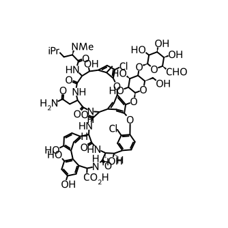 CN[C@H](CC(C)C)C(=O)NC1C(=O)NC(CC(N)=O)C(=O)NC2C(=O)N[C@H]3C(=O)N[C@H](C(=O)NC(C(=O)O)c4cc(O)cc(O)c4-c4cc3ccc4O)[C@H](O)c3ccc(c(Cl)c3)Oc3cc2cc(c3O[C@@H]2O[C@H](CO)C(O[C@@H]3O[C@H](C=O)[C@H](O)[C@H](O)C3O)[C@H](O)C2O)OC2=C(Cl)C=C(C2C)C1O